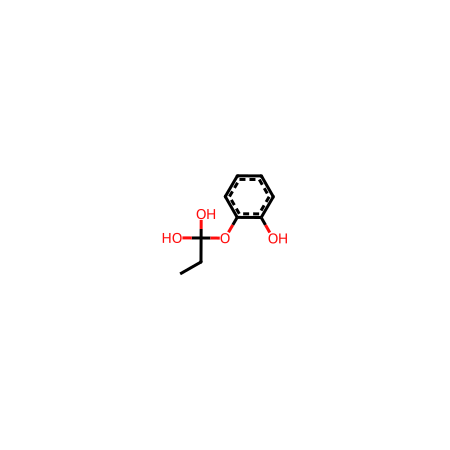 CCC(O)(O)Oc1ccccc1O